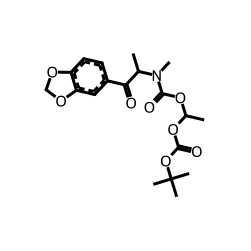 CC(OC(=O)OC(C)(C)C)OC(=O)N(C)C(C)C(=O)c1ccc2c(c1)OCO2